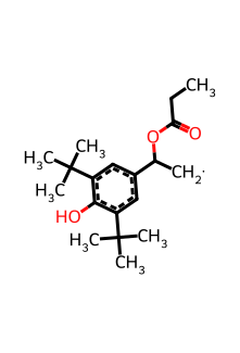 [CH2]C(OC(=O)CC)c1cc(C(C)(C)C)c(O)c(C(C)(C)C)c1